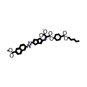 CCCCCOC(=O)C1CCC(OC(=O)/C(=C/C2=CC3=C(C=C(/N=N/c4ccc5cc(C(=O)OC)ccc5c4)C3)C2)C(=O)OC)CC1